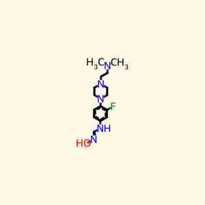 CN(C)CCN1CCN(c2ccc(N/C=N/O)cc2F)CC1